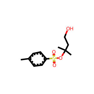 Cc1ccc(S(=O)(=O)OC(C)(C)CCO)cc1